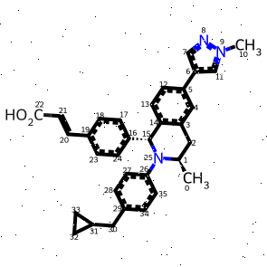 C[C@@H]1Cc2cc(-c3cnn(C)c3)ccc2[C@@H](c2ccc(/C=C/C(=O)O)cc2)N1c1ccc(CC2CC2)cc1